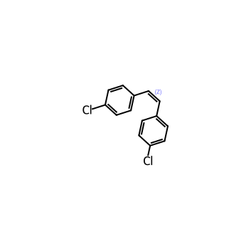 Clc1ccc(/C=C\c2ccc(Cl)cc2)cc1